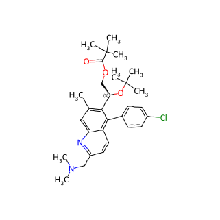 Cc1cc2nc(CN(C)C)ccc2c(-c2ccc(Cl)cc2)c1[C@@H](COC(=O)C(C)(C)C)OC(C)(C)C